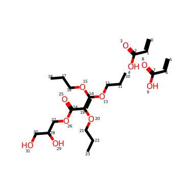 C=CC(=O)O.C=CC(=O)O.CCCOC(OCCC)=C(OCCC)C(=O)OCC(O)CO